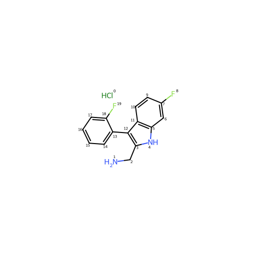 Cl.NCc1[nH]c2cc(F)ccc2c1-c1ccccc1F